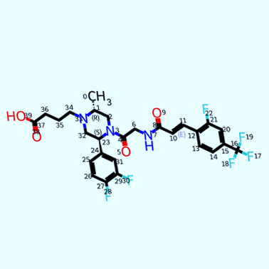 C[C@@H]1CN(C(=O)CNC(=O)/C=C/c2ccc(C(F)(F)F)cc2F)[C@@H](c2ccc(F)c(F)c2)CN1CCCC(=O)O